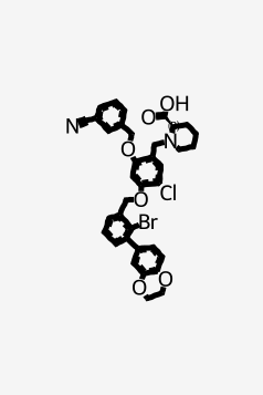 N#Cc1cccc(COc2cc(OCc3cccc(-c4ccc5c(c4)OCCO5)c3Br)c(Cl)cc2CN2CCCC[C@@H]2C(=O)O)c1